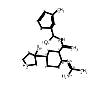 C=C(NC(C)C1=C=C(C)C=CC1)C1CC(C2(O)CCNC2)CCC1/N=C(/C)N